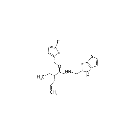 C=CCC(CC)C(CNCc1cc2sccc2[nH]1)OCc1ccc(Cl)s1